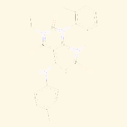 CCn1c(=O)c2c(Nc3ccc(C)cc3)cc(=O)n(C)c2n(-c2ccccc2C)c1=O